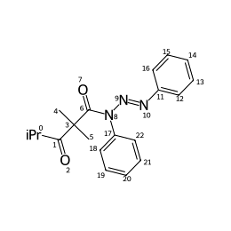 CC(C)C(=O)C(C)(C)C(=O)N(N=Nc1ccccc1)c1ccccc1